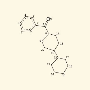 O=C(c1ccccc1)C1CCC(C2CCCCC2)CC1